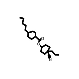 CCCCCC1CCC(C(=O)OC2CCC(C#N)(CCC)CC2)CC1